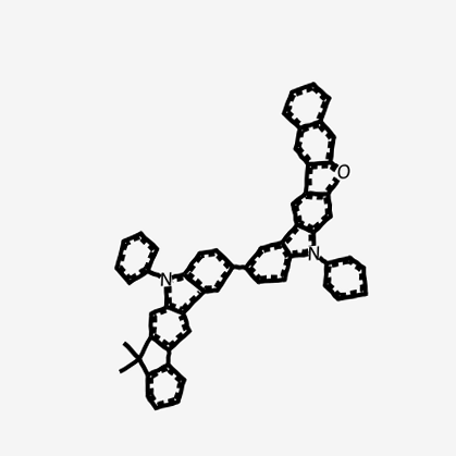 CC1(C)c2ccccc2-c2cc3c4cc(-c5ccc6c(c5)c5cc7c(cc5n6-c5ccccc5)oc5cc6ccccc6cc57)ccc4n(-c4ccccc4)c3cc21